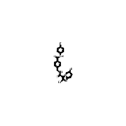 CCc1nc2ccc(Cl)cn2c1C(=O)NCc1ccc(C(=O)Nc2ccc(F)cc2)cc1